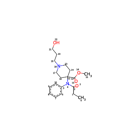 CCC(=O)N(c1ccccc1)C1(C(=O)OC)CCN(CCCO)CC1